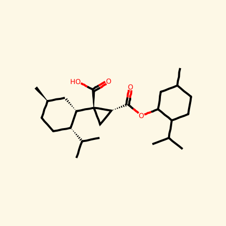 CC1CCC(C(C)C)C(OC(=O)[C@@H]2C[C@]2(C(=O)O)[C@H]2C[C@H](C)CC[C@H]2C(C)C)C1